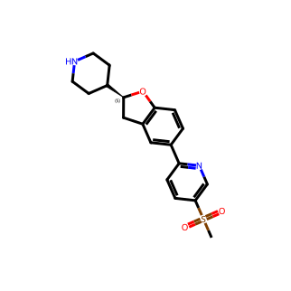 CS(=O)(=O)c1ccc(-c2ccc3c(c2)C[C@@H](C2CCNCC2)O3)nc1